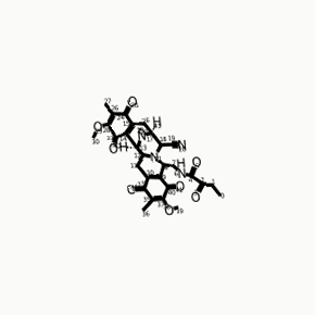 CCC(=O)C(=O)NCC1C2=C(CC3[C@H]4C5=C(C[C@@H](C(C#N)N13)N4C)C(=O)C(C)=C(OC)C5=O)C(=O)C(C)=C(OC)C2=O